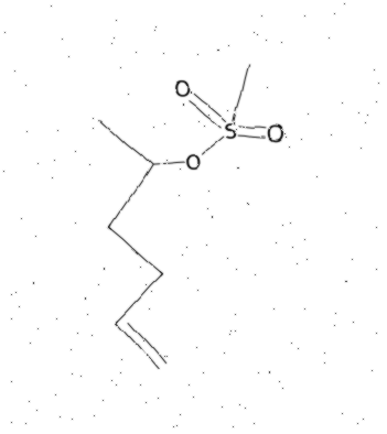 C=CCCC(C)OS(C)(=O)=O